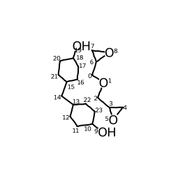 C(OCC1CO1)C1CO1.OC1CCC(CC2CCC(O)CC2)CC1